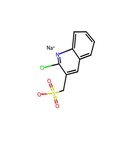 O=S(=O)([O-])Cc1cc2ccccc2nc1Cl.[Na+]